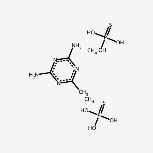 C.C.Cc1nc(N)nc(N)n1.OP(O)(O)=S.OP(O)(O)=S